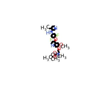 CCc1ccncc1Nc1cc(F)c(Oc2ccnc3cc(OCCN(C)C(=O)OC(C)(C)C)c(OC)cc23)c(F)c1